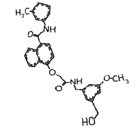 COc1cc(CO)cc(CNC(=O)COc2ccc(C(=O)Nc3cccc(C)c3)c3ccccc23)c1